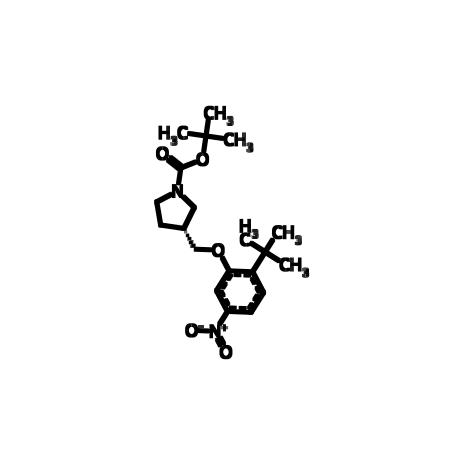 CC(C)(C)OC(=O)N1CC[C@@H](COc2cc([N+](=O)[O-])ccc2C(C)(C)C)C1